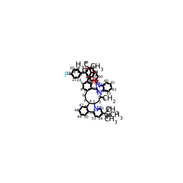 C=C1CC2C(CCc3ccc4c(oc5cccc(-c6ccc(F)cc6)c54)c3-c3n(-c4ccc(C(C)(C)C)cc4)c4ccccc4[n+]31)c1ccccc1-c1ccc([Si](C)(C)C)c[n+]12